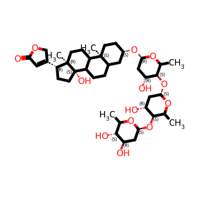 CC1O[C@@H](O[C@@H]2C(C)O[C@@H](O[C@@H]3C(C)O[C@@H](O[C@H]4CC[C@@]5(C)C(CCC6C5CC[C@]5(C)[C@@H](C7=CC(=O)OC7)CC[C@]65O)C4)C[C@H]3O)C[C@H]2O)C[C@@H](O)[C@@H]1O